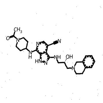 CC(=O)N1CCC(Nc2ncc(C#N)c3c(NC[C@H](O)CN4CCc5ccccc5C4)n[nH]c23)CC1